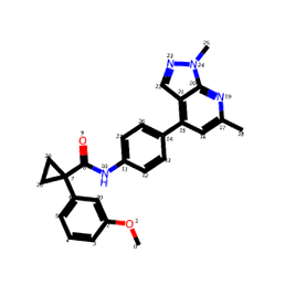 COc1cccc(C2(C(=O)Nc3ccc(-c4cc(C)nc5c4cnn5C)cc3)CC2)c1